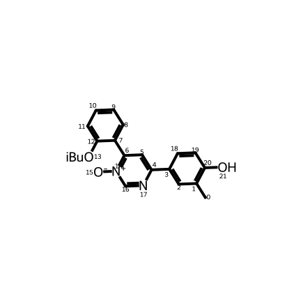 Cc1cc(-c2cc(-c3ccccc3OCC(C)C)[n+]([O-])cn2)ccc1O